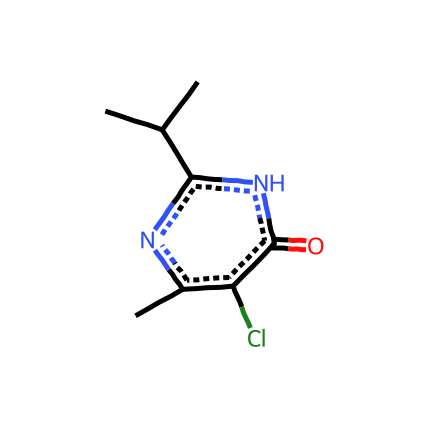 Cc1nc(C(C)C)[nH]c(=O)c1Cl